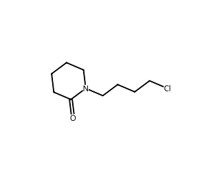 O=C1CCCCN1CCCCCl